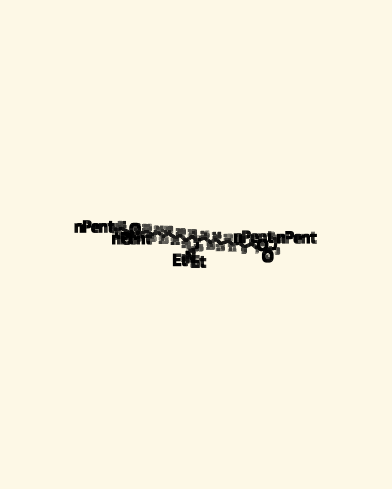 CCCCCC(CCCCC)CC(=O)OCCCCCCCCCCC(CCCCCCCCCCOC(=O)CC(CCCCC)CCCCC)CCN(CC)CC